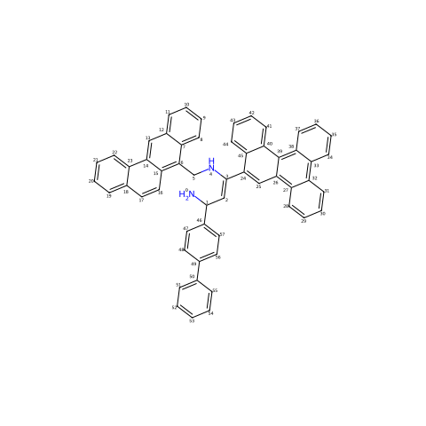 NC(/C=C(\NCc1c2ccccc2cc2c1ccc1ccccc12)c1cc2c3ccccc3c3ccccc3c2c2ccccc12)c1ccc(-c2ccccc2)cc1